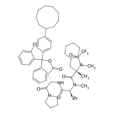 CC(C)[C@@H](C(=O)N[C@@H](CC(=O)OC(c1ccccc1)(c1ccc(C2CCCCCCCC2)cc1)c1ccccc1Cl)C(=O)N1CCCC1)N(C)C(=O)[C@](C)(CC1CCCCC1)N(C)C(=O)C(F)(F)F